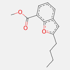 CCCCc1cc2cccc(C(=O)OC)c2o1